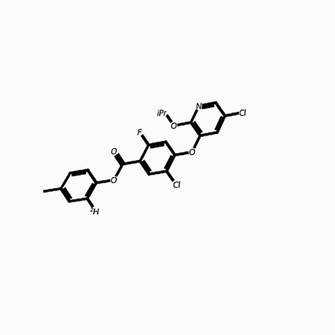 [2H]c1cc(C)ccc1OC(=O)c1cc(Cl)c(Oc2cc(Cl)cnc2OC(C)C)cc1F